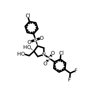 O=S(=O)(c1ccc(Cl)cc1)[C@H]1CN(S(=O)(=O)c2ccc(C(F)F)cc2Cl)C[C@@]1(O)CO